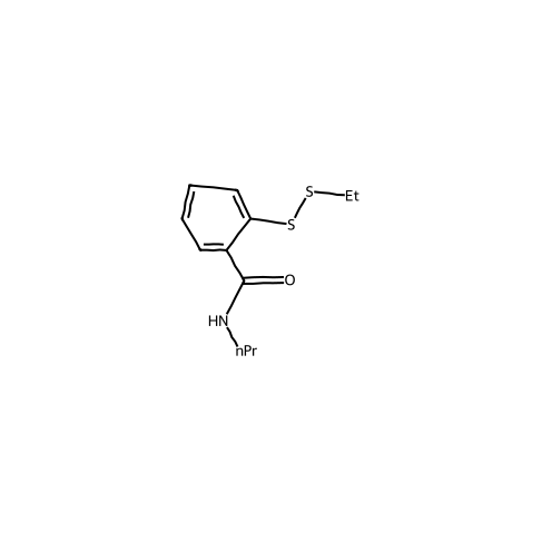 CCCNC(=O)c1ccccc1SSCC